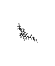 C=CC(=C\N=C/N)/C(C)=N/c1cccc(-c2ccccc2)c1C(=C)NCC1CCN(C(=O)OC(C)C)CC1